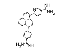 N=C(N)c1ccc(-c2ccc3cccc4c3c2C=CC4c2ccc(C(=N)N)cn2)nc1